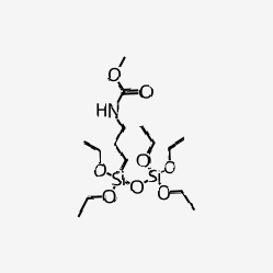 CCO[Si](CCCNC(=O)OC)(OCC)O[Si](OCC)(OCC)OCC